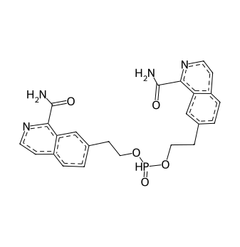 NC(=O)c1nccc2ccc(CCO[PH](=O)OCCc3ccc4ccnc(C(N)=O)c4c3)cc12